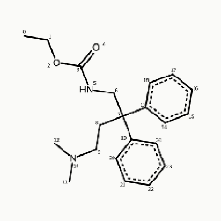 CCOC(=O)NCC(CCN(C)C)(c1ccccc1)c1ccccc1